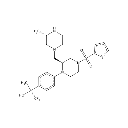 C[C@](O)(c1ccc(N2CCN(S(=O)(=O)c3cccs3)C[C@@H]2CN2CCN[C@@H](C(F)(F)F)C2)cc1)C(F)(F)F